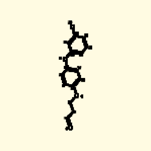 O=CCCOc1ccc(Oc2cccc(Cl)c2)cc1